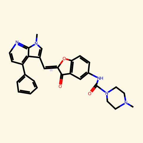 CN1CCN(C(=O)Nc2ccc3c(c2)C(=O)/C(=C/c2cn(C)c4nccc(-c5ccccc5)c24)O3)CC1